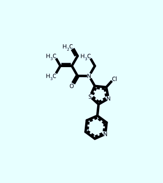 C=CC(C(=O)N(CC)c1sc(-c2cccnc2)nc1Cl)=C(C)C